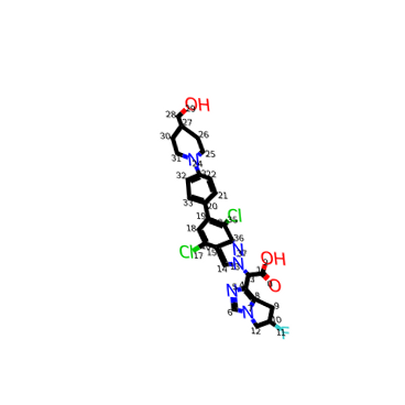 O=C(O)C(c1ncn2c1CC(F)C2)n1cc2c(Cl)cc(-c3ccc(N4CCC(CO)CC4)cc3)c(Cl)c2n1